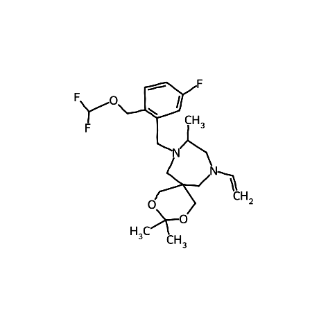 C=CN1CC(C)N(Cc2cc(F)ccc2COC(F)F)CC2(COC(C)(C)OC2)C1